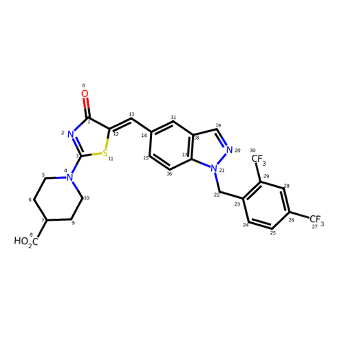 O=C1N=C(N2CCC(C(=O)O)CC2)S/C1=C\c1ccc2c(cnn2Cc2ccc(C(F)(F)F)cc2C(F)(F)F)c1